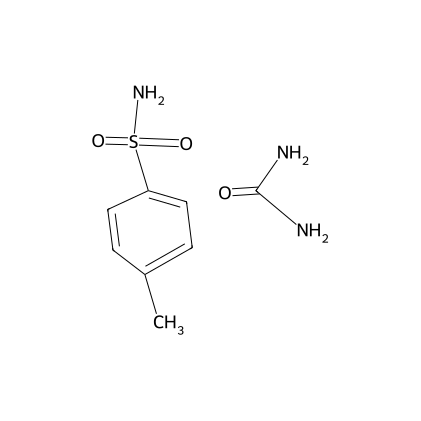 Cc1ccc(S(N)(=O)=O)cc1.NC(N)=O